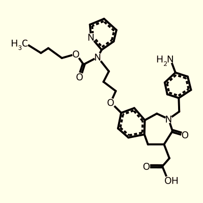 CCCCOC(=O)N(CCCOc1ccc2c(c1)CN(Cc1ccc(N)cc1)C(=O)C(CC(=O)O)C2)c1ccccn1